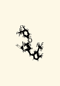 Fc1ccc(Cc2cc(Oc3ccc(Cl)c(C(F)(F)F)c3)ncn2)cc1C(F)(F)F